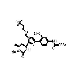 C=CCC(NC(=O)OC(C)(C)C)c1nc(-c2ccc(NC(=O)OC)cc2C=O)cn1COCC[Si](C)(C)C